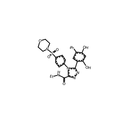 CCNC(=O)c1nnc(-c2cc(C(C)C)c(O)cc2O)n1-c1ccc(S(=O)(=O)N2CCOCC2)cc1